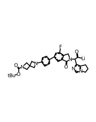 [Li][C](=O)C(c1ncn2c1CCC2)N1Cc2c(F)cc(-c3ccc(N4CC5(CN(C(=O)OC(C)(C)C)C5)C4)cc3)cc2C1=O